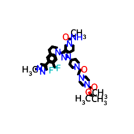 CNC(=O)N1CCc2c(c(N3CCCc4cc(-c5cnn(C)c5)c(C(F)F)cc43)nn2C2CCN(C(=O)CN3CCN(C(=O)OC(C)(C)C)CC3)CC2)C1